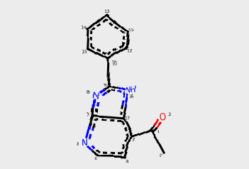 CC(=O)c1ccnc2nc(-c3ccccc3)[nH]c12